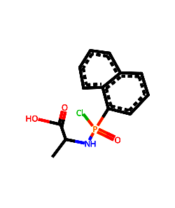 CC(NP(=O)(Cl)c1cccc2ccccc12)C(=O)O